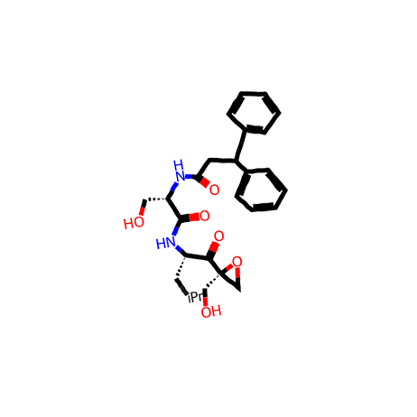 CC(C)C[C@H](NC(=O)[C@H](CO)NC(=O)CC(c1ccccc1)c1ccccc1)C(=O)[C@]1(CO)CO1